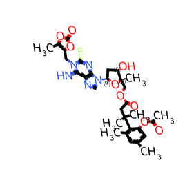 CC(=O)Oc1cc(C)cc(C)c1C(C)(C)CC(=O)OC[C@@]1(C)O[C@@H](n2cnc3c(=N)n(Cc4oc(=O)oc4C)c(F)nc32)C[C@@H]1O